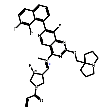 C=CC(=O)N1CC(/C=[N+](\C)c2nc(OCC34CCCN3CCC4)nc3c(F)c(-c4cccc5ccc(F)c(Cl)c45)ncc23)[C@H](F)C1